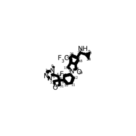 Cn1cnnc1[C@H](F)C1(c2cccc(N3Cc4c(cc([C@H](N)C5CC5)cc4C(F)(F)F)C3=O)c2)COC1